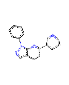 c1ccc(-n2ncc3ccc(-c4cccnc4)nc32)cc1